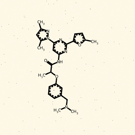 Cc1cc(C)n(-c2cc(NC(=O)C(C)Oc3cccc(CN(C)C)c3)nc(-c3ccc(C)o3)n2)n1